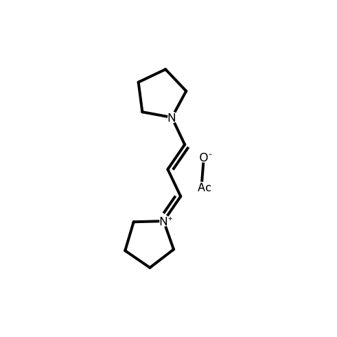 C(=CN1CCCC1)C=[N+]1CCCC1.CC(=O)[O-]